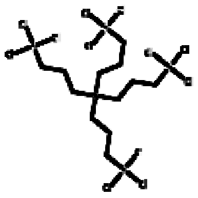 ClS(Cl)(Cl)CCCS(CCCS(Cl)(Cl)Cl)(CCCS(Cl)(Cl)Cl)CCCS(Cl)(Cl)Cl